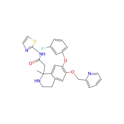 CC1(CC(=O)Nc2nccs2)NCCc2cc(OCc3ccccn3)c(Oc3cccc(F)c3)cc21